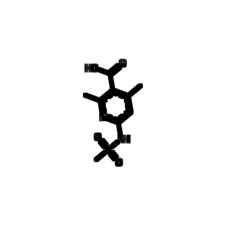 Cc1cc(NS(C)(=O)=O)nc(C)c1C(=O)O